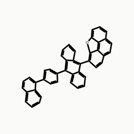 c1ccc2c(-c3ccc(-c4c5ccccc5c(-c5ccc6ccc7cccc8oc5c6c78)c5ccccc45)cc3)cccc2c1